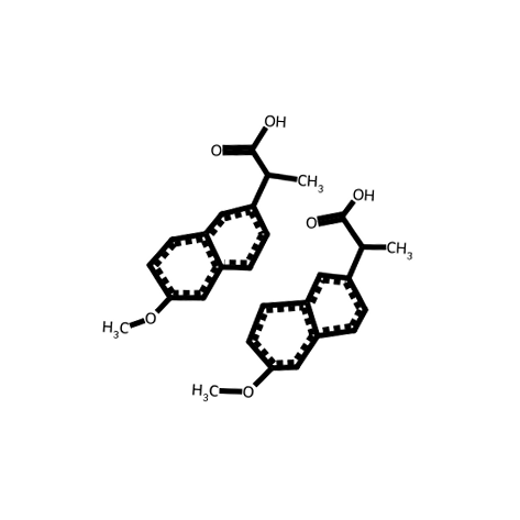 COc1ccc2cc(C(C)C(=O)O)ccc2c1.COc1ccc2cc(C(C)C(=O)O)ccc2c1